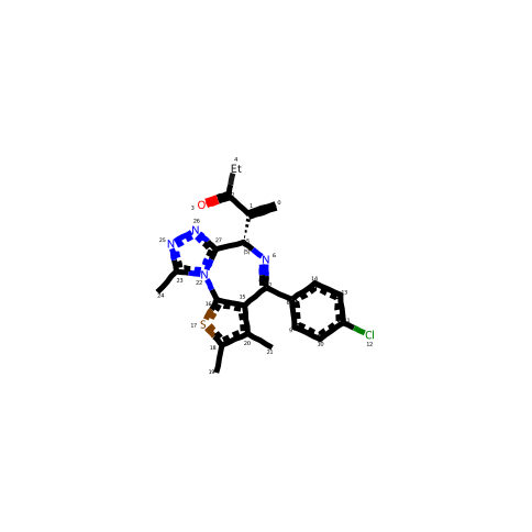 C=C(C(=O)CC)[C@@H]1N=C(c2ccc(Cl)cc2)c2c(sc(C)c2C)-n2c(C)nnc21